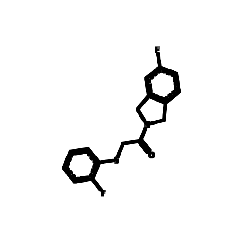 O=C(CSc1ccccc1F)N1Cc2ccc(F)cc2C1